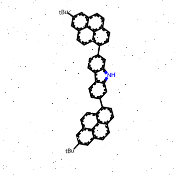 CC(C)(C)c1cc2ccc3ccc(-c4ccc5c(c4)[nH]c4cc(-c6ccc7ccc8cc(C(C)(C)C)cc9ccc6c7c89)ccc45)c4ccc(c1)c2c34